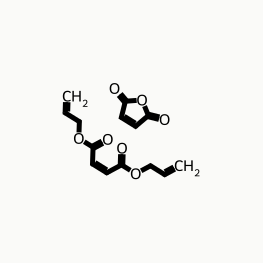 C=CCOC(=O)/C=C\C(=O)OCC=C.O=C1C=CC(=O)O1